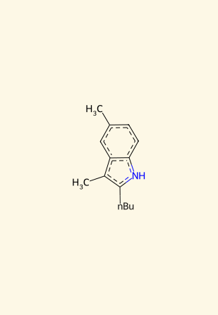 CCCCc1[nH]c2ccc(C)cc2c1C